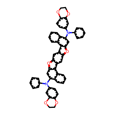 c1ccc(N(c2ccc3c(c2)OCCO3)c2cc3oc4cc5c(cc4c3c3ccccc23)oc2cc(N(c3ccccc3)c3ccc4c(c3)OCCO4)c3ccccc3c25)cc1